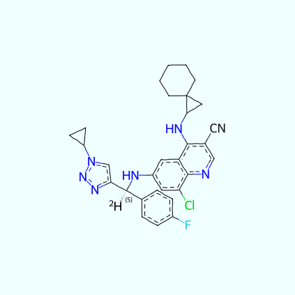 [2H][C@](Nc1cc(Cl)c2ncc(C#N)c(NC3CC34CCCCC4)c2c1)(c1ccc(F)cc1)c1cn(C2CC2)nn1